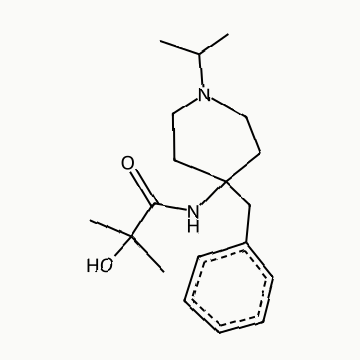 CC(C)N1CCC(Cc2ccccc2)(NC(=O)C(C)(C)O)CC1